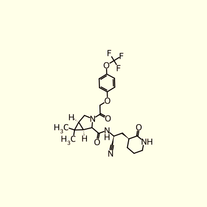 CC1(C)[C@@H]2C(C(=O)N[C@H](C#N)C[C@@H]3CCCNC3=O)N(C(=O)COc3ccc(OC(F)(F)F)cc3)C[C@@H]21